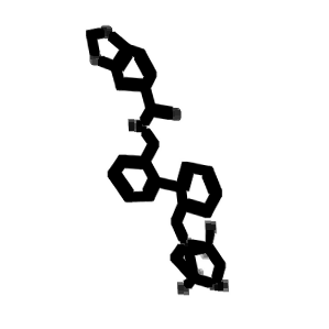 O=C(NCc1ccccc1-c1ccccc1CN1C[C@@H]2C[C@H]1CN2)c1ccc2c(c1)OCO2